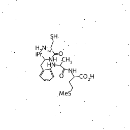 CSCCC(NC(=O)C(C)Nc1ccccc1CC(NC(=O)[C@H](N)CS)C(C)C)C(=O)O